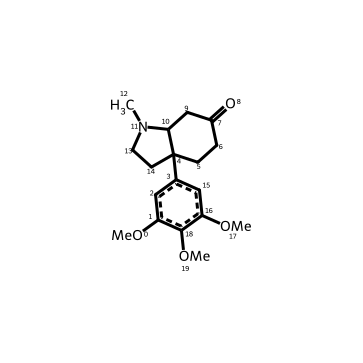 COc1cc(C23CCC(=O)CC2N(C)CC3)cc(OC)c1OC